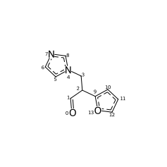 O=CC(Cn1ccnc1)c1ccco1